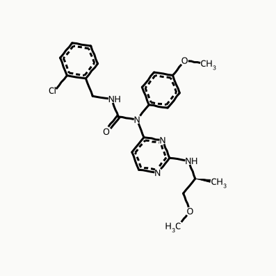 COC[C@H](C)Nc1nccc(N(C(=O)NCc2ccccc2Cl)c2ccc(OC)cc2)n1